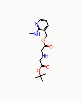 CNc1ncccc1COC(=O)CNCC(=O)OC(C)(C)C